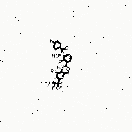 O=C(Nc1c(Br)cc(C(F)(C(F)(F)F)C(F)(F)C(F)(F)F)cc1I)c1cccc(N(O)C(=O)c2ccc(F)cc2)c1F